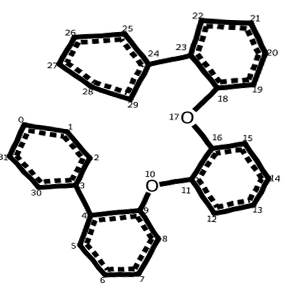 c1ccc(-c2ccccc2Oc2ccccc2Oc2ccccc2-c2ccccc2)cc1